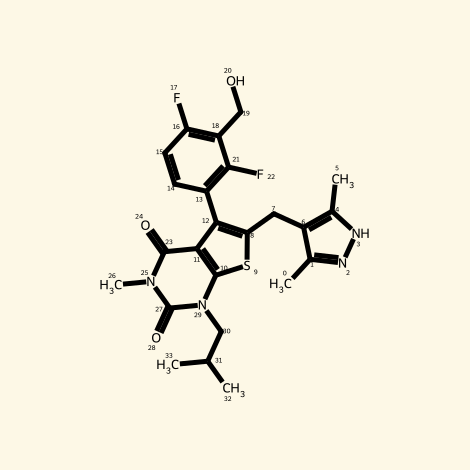 Cc1n[nH]c(C)c1Cc1sc2c(c1-c1ccc(F)c(CO)c1F)c(=O)n(C)c(=O)n2CC(C)C